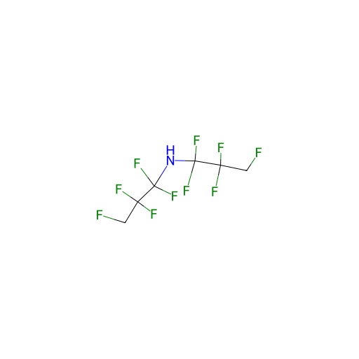 FCC(F)(F)C(F)(F)NC(F)(F)C(F)(F)CF